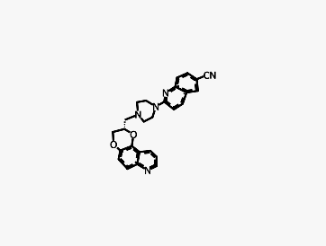 N#Cc1ccc2nc(N3CCN(C[C@H]4COc5ccc6ncccc6c5O4)CC3)ccc2c1